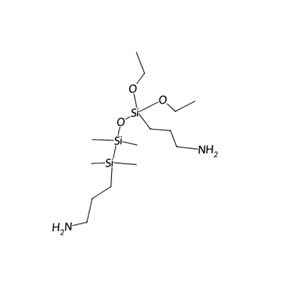 CCO[Si](CCCN)(OCC)O[Si](C)(C)[Si](C)(C)CCCN